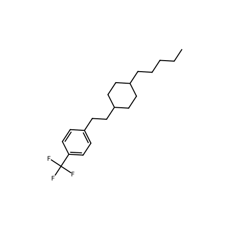 CCCCCC1CCC(CCc2ccc(C(F)(F)F)cc2)CC1